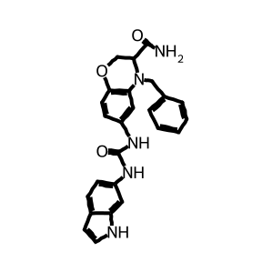 NC(=O)C1COc2ccc(NC(=O)Nc3ccc4cc[nH]c4c3)cc2N1Cc1ccccc1